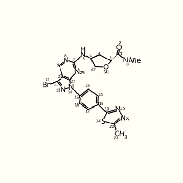 CNC(=O)[C@H]1C[C@H](Nc2ncc3c(Br)nn(-c4ccc(-c5nnc(C)s5)cc4)c3n2)CO1